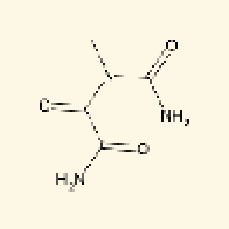 CN(C(N)=O)C(=O)C(N)=O